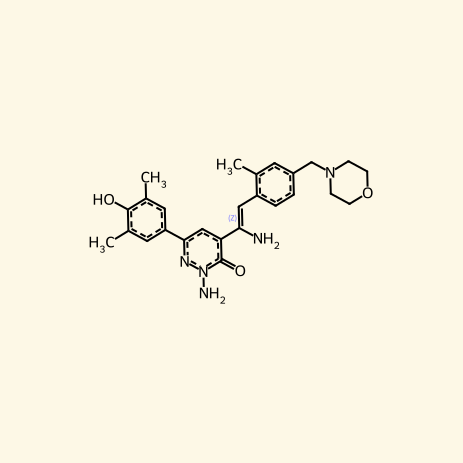 Cc1cc(CN2CCOCC2)ccc1/C=C(\N)c1cc(-c2cc(C)c(O)c(C)c2)nn(N)c1=O